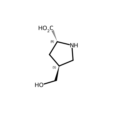 O=C(O)[C@H]1C[C@H](CO)CN1